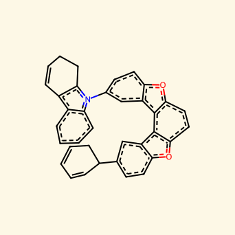 C1=CCC(c2ccc3oc4ccc5oc6ccc(-n7c8c(c9ccccc97)C=CCC8)cc6c5c4c3c2)C=C1